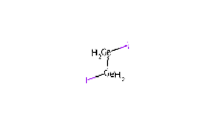 [I][GeH2][GeH2][I]